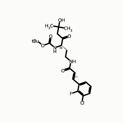 CC(C)(O)CC(=O)[C@H](CCNC(=O)/C=C/c1cccc(Cl)c1F)NC(=O)OC(C)(C)C